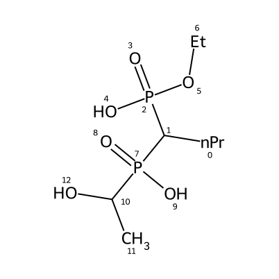 CCCC(P(=O)(O)OCC)P(=O)(O)C(C)O